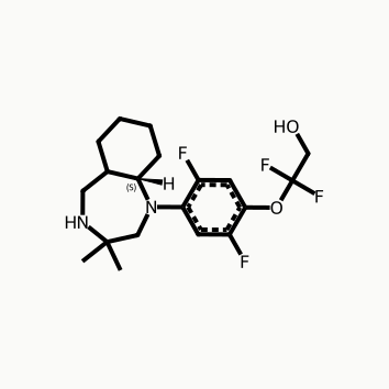 CC1(C)CN(c2cc(F)c(OC(F)(F)CO)cc2F)[C@H]2CCCCC2CN1